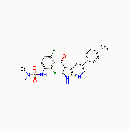 CCN(C)S(=O)(=O)Nc1ccc(F)c(C(=O)c2c[nH]c3ncc(-c4ccc(C(F)(F)F)cc4)cc23)c1F